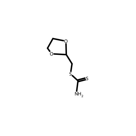 NC(=S)SCC1OCCO1